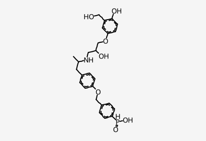 CC(Cc1ccc(OCc2ccc([PH](=O)O)cc2)cc1)NCC(O)COc1ccc(O)c(CO)c1